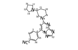 N#Cc1ccc(-c2cc(N3CCCC(N4CCCC4)C3)nc3ncnn23)cc1